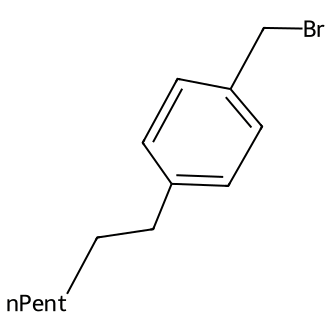 CCCCCCCc1ccc(CBr)cc1